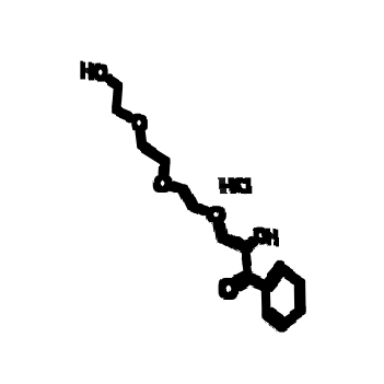 Cl.O=C(c1ccccc1)C(O)COCCOCCOCCO